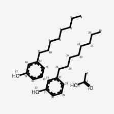 CC(=O)O.CCCCCCCCc1cccc(O)c1.CCCCCCCCc1cccc(O)c1